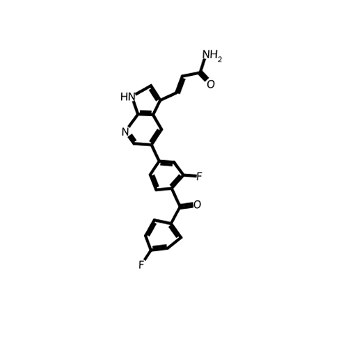 NC(=O)/C=C/c1c[nH]c2ncc(-c3ccc(C(=O)c4ccc(F)cc4)c(F)c3)cc12